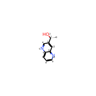 C[C@@H](O)c1cnc2cccnc2c1